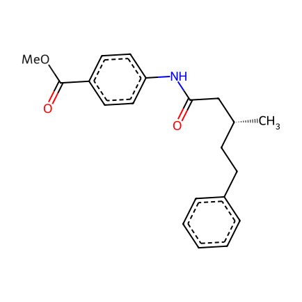 COC(=O)c1ccc(NC(=O)C[C@H](C)CCc2ccccc2)cc1